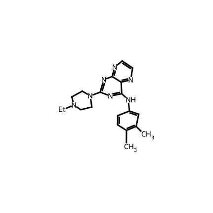 CCN1CCN(c2nc(Nc3ccc(C)c(C)c3)c3nccnc3n2)CC1